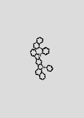 c1ccc(-n2c3cc4c(cc3c3ccc5ccccc5c32)c2ccccc2n4-c2ccccc2-c2cccc3ccccc23)cc1